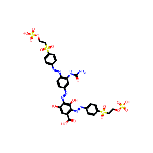 NC(=O)Nc1cc(N=Nc2c(O)cc(C(=O)O)c(N=Nc3ccc(S(=O)(=O)CCOS(=O)(=O)O)cc3)c2O)ccc1N=Nc1ccc(S(=O)(=O)CCOS(=O)(=O)O)cc1